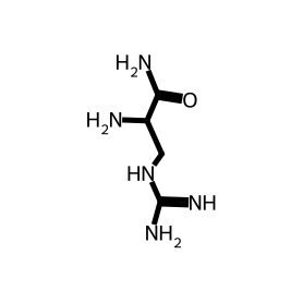 N=C(N)NCC(N)C(N)=O